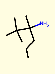 CCCC(C)(N)C(C)(C)C